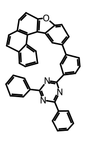 c1ccc(-c2nc(-c3ccccc3)nc(-c3cccc(-c4ccc5oc6ccc7ccc8ccccc8c7c6c5c4)c3)n2)cc1